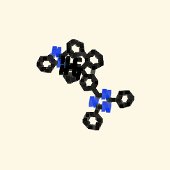 CC1(C)c2ccc(-c3nc(-c4ccccc4)nc(-c4ccccc4)n3)cc2-c2cccc(-c3cccc(-c4nc5ccccc5n4-c4ccccc4)c3)c21